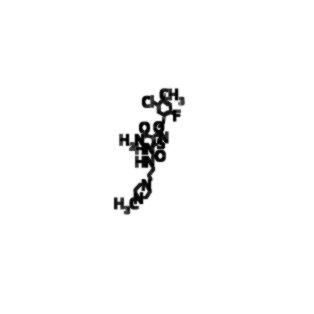 Cc1cc(F)c(COc2nsc(NC(=O)NCCCN3CCN(C)CC3)c2C(N)=O)cc1Cl